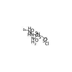 NC(=O)c1c(SCc2ccc(Cl)s2)nsc1NC(=O)NCC1CC1